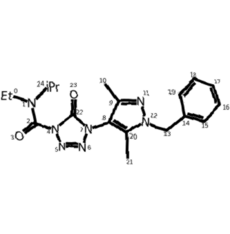 CCN(C(=O)n1nnn(-c2c(C)nn(Cc3ccccc3)c2C)c1=O)C(C)C